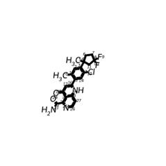 Cc1cc(C2(C)CCC(F)(F)C2)c(Cl)cc1-c1cc(=O)c2c(C(N)=O)nccc2[nH]1